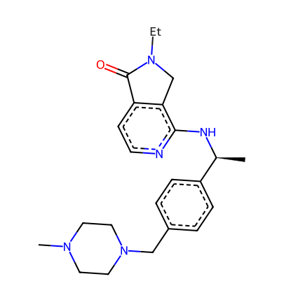 CCN1Cc2c(ccnc2N[C@@H](C)c2ccc(CN3CCN(C)CC3)cc2)C1=O